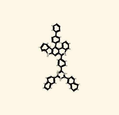 c1ccc(-c2ccc(-c3c4c(cc5c(-c6ccc(-c7nc(-c8ccc9ccccc9c8)nc(-c8ccc9ccccc9c8)n7)cc6)nc6ccccc6c35)oc3ccccc34)cc2)cc1